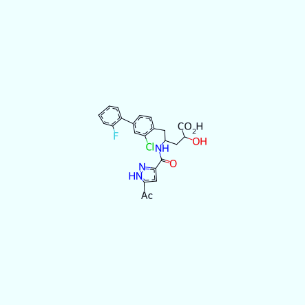 CC(=O)c1cc(C(=O)NC(Cc2ccc(-c3ccccc3F)cc2Cl)CC(O)C(=O)O)n[nH]1